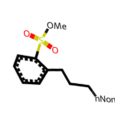 CCCCCCCCCCCCc1ccccc1S(=O)(=O)OC